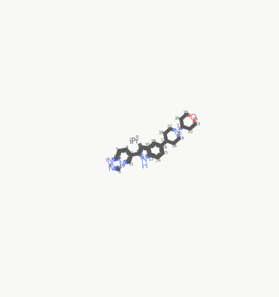 CC(C)c1c(-c2ccc3nncn3c2)[nH]c2ccc(C3CCN(C4CCOCC4)CC3)cc12